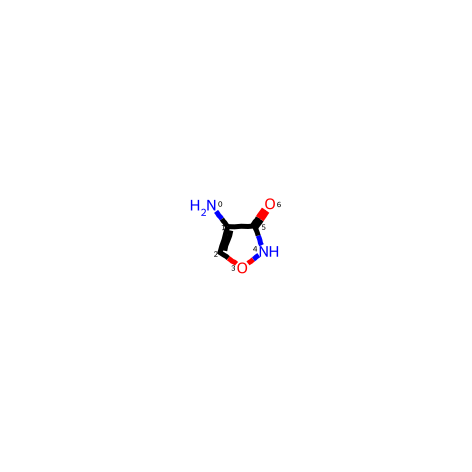 Nc1co[nH]c1=O